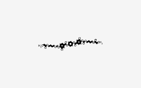 C=CC(=O)OCCCCOCOc1ccc(C(=O)O[C@H]2CC[C@H](OC(=O)c3ccc(OC(=O)OCCCCOC(=O)C=C)c(Cl)c3)CC2)cc1Cl